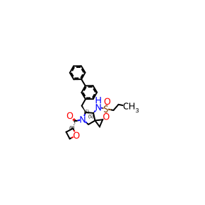 CCCS(=O)(=O)N[C@@H]1[C@H](Cc2cccc(-c3ccccc3)c2)N(C(=O)[C@H]2CCO2)CC12CC2